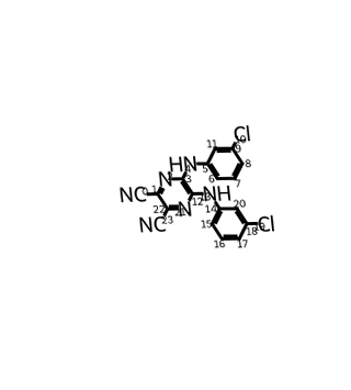 N#Cc1nc(Nc2cccc(Cl)c2)c(Nc2cccc(Cl)c2)nc1C#N